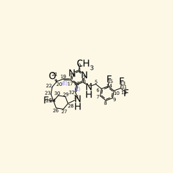 Cc1nc(NCc2cccc(C(F)F)c2F)c2/c(n1)=C\C(=O)CCC1(F)CCC(CC1)N/C=2